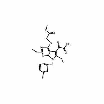 CCc1c(C(=O)C(N)=O)c2c(OCC(=O)OC)nc(SC)nc2n1Cc1cccc(F)c1